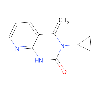 C=C1c2cccnc2NC(=O)N1C1CC1